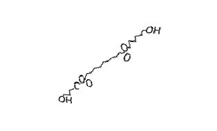 O=C(CCCCCCCCCC(=O)OCCCCCCO)OCCCCCCO